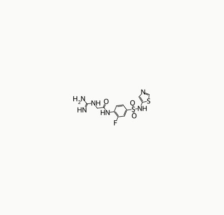 N=C(N)NCC(=O)Nc1ccc(S(=O)(=O)Nc2cncs2)cc1F